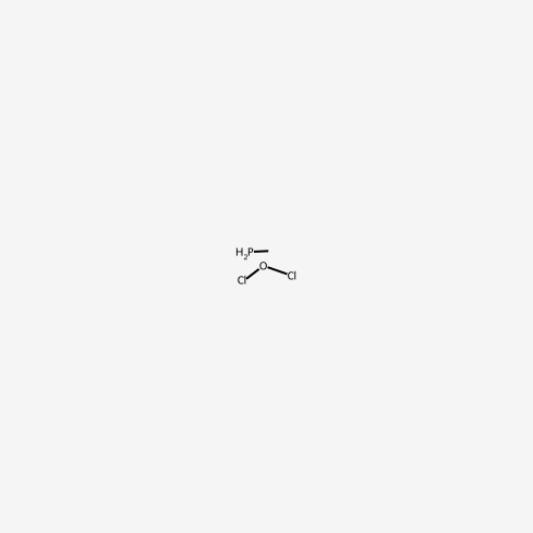 CP.ClOCl